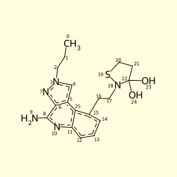 CCCn1cc2c(n1)c(N)nc1cccc(CCN3SCCC3(O)O)c12